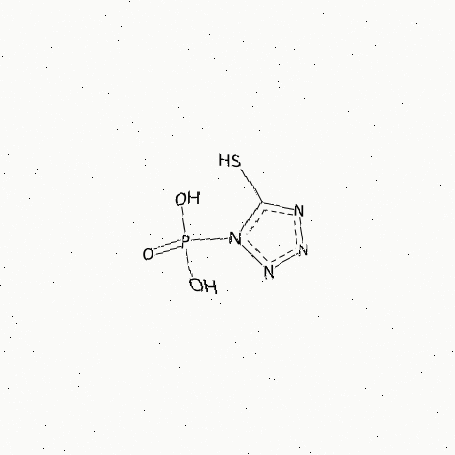 O=P(O)(O)n1nnnc1S